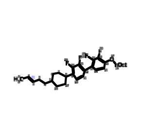 C/C=C/CCC1CCC(c2ccc(-c3ccc(OCCCCCCCC)c(F)c3F)c(F)c2F)CC1